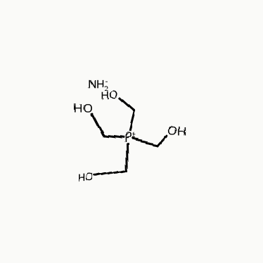 OC[P+](CO)(CO)CO.[NH2-]